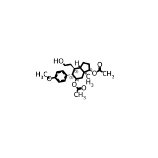 COc1ccc([C@@H]2[C@@H](CCO)[C@@H]3CC[C@H](OC(C)=O)[C@@]3(C)C[C@@H]2OC(C)=O)cc1